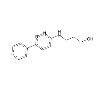 OCCCNc1ccc(-c2ccccc2)nn1